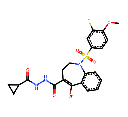 COc1ccc(S(=O)(=O)N2CCC(C(=O)NNC(=O)C3CC3)=C(Br)c3ccccc32)cc1F